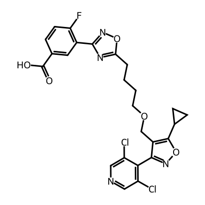 O=C(O)c1ccc(F)c(-c2noc(CCCCOCc3c(-c4c(Cl)cncc4Cl)noc3C3CC3)n2)c1